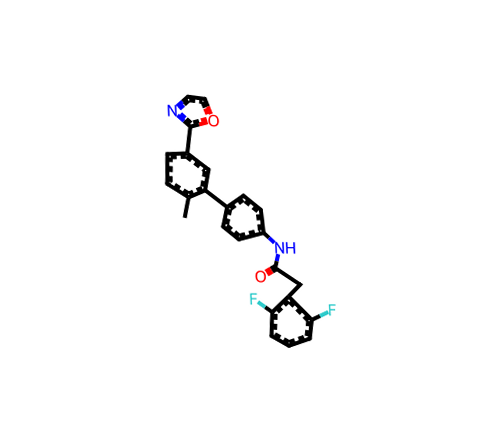 Cc1ccc(-c2ncco2)cc1-c1ccc(NC(=O)Cc2c(F)cccc2F)cc1